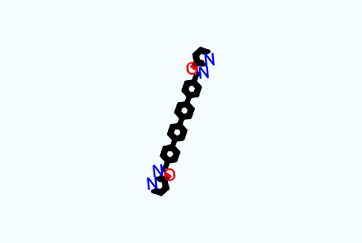 c1cnc2nc(-c3ccc(-c4ccc(-c5ccc(-c6ccc(-c7nc8ncccc8o7)cc6)cc5)cc4)cc3)oc2c1